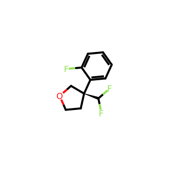 Fc1ccccc1[C@]1(C(F)F)CCOC1